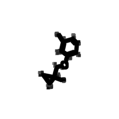 Cc1cccc(OCC2(C)CC2)c1